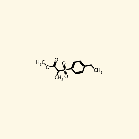 CCc1ccc(S(=O)(=O)C(C)C(=O)OC)cc1